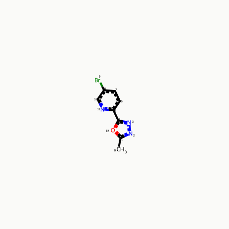 Cc1nnc(-c2ccc(Br)cn2)o1